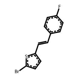 Fc1ccc(C=Cc2ccc(Br)s2)cc1